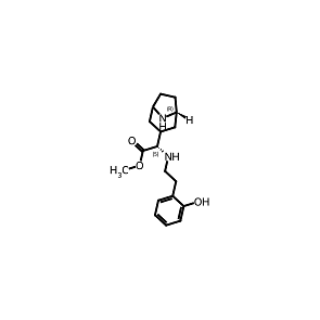 COC(=O)[C@@H](NCCc1ccccc1O)C1CC2CC[C@H](C1)N2